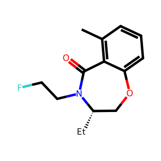 CC[C@H]1COc2cccc(C)c2C(=O)N1CCF